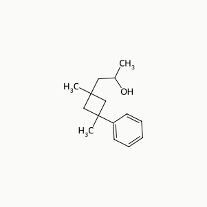 CC(O)CC1(C)CC(C)(c2ccccc2)C1